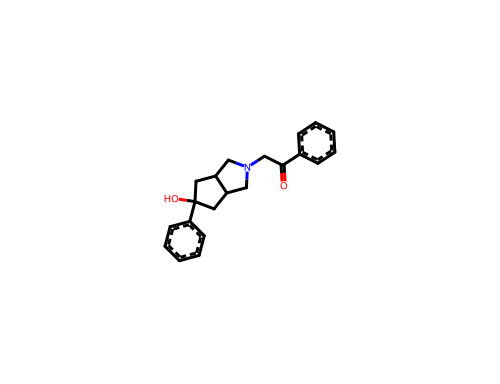 O=C(CN1CC2CC(O)(c3ccccc3)CC2C1)c1ccccc1